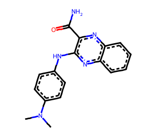 CN(C)c1ccc(Nc2nc3ccccc3nc2C(N)=O)cc1